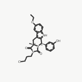 CCOc1ccc2[nH]c3c(c2c1)C[C@@]1(C)C(=O)N(CCCCl)C(=O)N1[C@@H]3c1cccc(O)c1